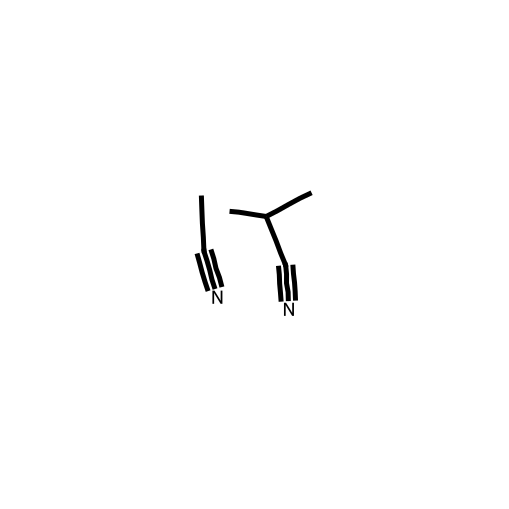 CC#N.CC(C)C#N